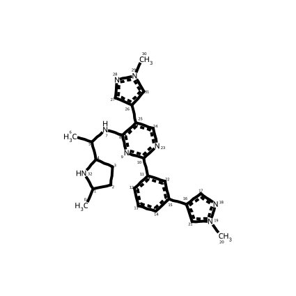 CC1CCC(C(C)Nc2nc(-c3cccc(-c4cnn(C)c4)c3)ncc2-c2cnn(C)c2)N1